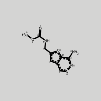 CC(C)(C)OC(=O)NCc1cc2cnnc(N)c2s1